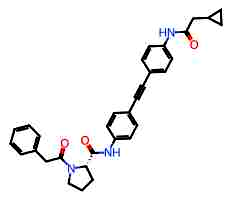 O=C(CC1CC1)Nc1ccc(C#Cc2ccc(NC(=O)[C@@H]3CCCN3C(=O)Cc3ccccc3)cc2)cc1